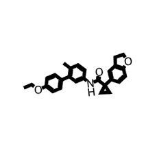 CCOc1ccc(-c2cc(NC(=O)C3(c4ccc5c(c4)CCO5)CC3)ccc2C)cc1